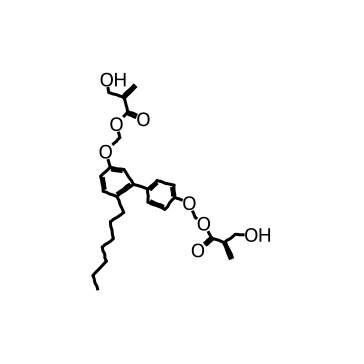 C=C(CO)C(=O)OCOc1ccc(-c2cc(OCOC(=O)C(=C)CO)ccc2CCCCCCC)cc1